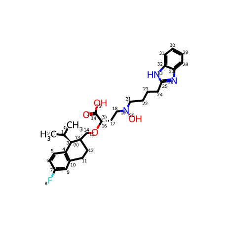 CC(C)[C@@H]1c2ccc(F)cc2CCC1CO[C@@H](CCN(O)CCCCc1nc2ccccc2[nH]1)C(=O)O